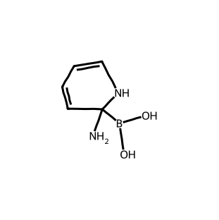 NC1(B(O)O)C=CC=CN1